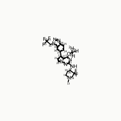 [2H]C([2H])([2H])Oc1nc(N[C@@H]2CCN(C)CC2(F)F)nn2ccc(-c3ccc4nnn(CC(F)(F)F)c4c3)c12